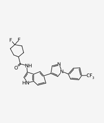 O=C(Nc1c[nH]c2ccc(-c3cnn(-c4ccc(C(F)(F)F)cc4)c3)cc12)C1CCC(F)(F)CC1